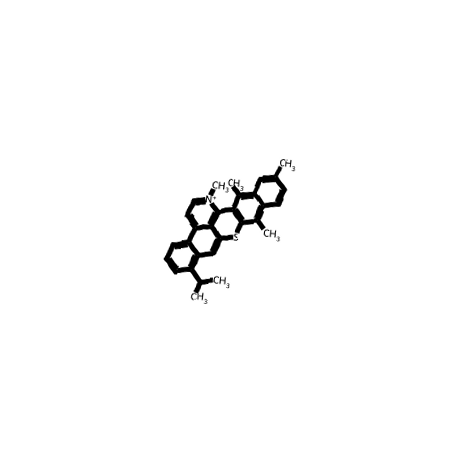 Cc1ccc2c(C)c3c(c(C)c2c1)-c1c2c(cc4c(C(C)C)cccc4c2cc[n+]1C)S3